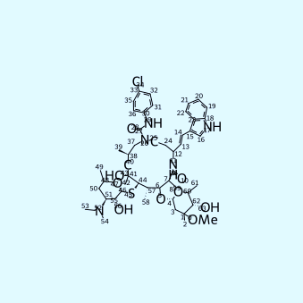 COC1(C)C[C@H](OC2C(C)C(=O)NC(/C=C/c3c[nH]c4ccccc34)CCN(C(=O)Nc3ccc(Cl)cc3)C[C@H](C)CC(C)(O)[C@H](SC3OC(C)C[C@H](N(C)C)[C@H]3O)[C@H]2C)OC(C)[C@@H]1O